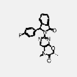 C[C@H]1Oc2nc(N3C(=O)c4ccccc4C3c3ccc(F)cc3)ncc2N(C)C1=O